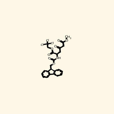 COC(=O)CC(=O)CC(NC(=O)OCC1c2ccccc2-c2ccccc21)C(=O)OCC(Cl)(Cl)Cl